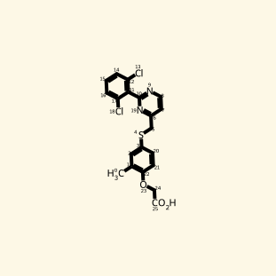 Cc1cc(SCc2ccnc(-c3c(Cl)cccc3Cl)n2)ccc1OCC(=O)O